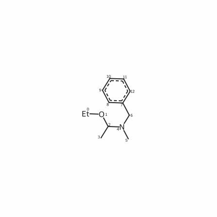 CCOC(C)N(C)Cc1ccccc1